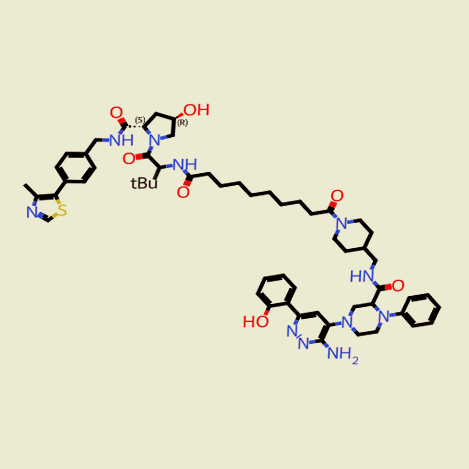 Cc1ncsc1-c1ccc(CNC(=O)[C@@H]2C[C@@H](O)CN2C(=O)C(NC(=O)CCCCCCCCC(=O)N2CCC(CNC(=O)C3CN(c4cc(-c5ccccc5O)nnc4N)CCN3c3ccccc3)CC2)C(C)(C)C)cc1